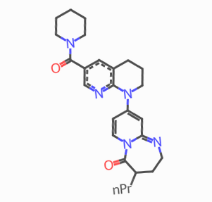 CCCC1CCN=C2C=C(N3CCCc4cc(C(=O)N5CCCCC5)cnc43)C=CN2C1=O